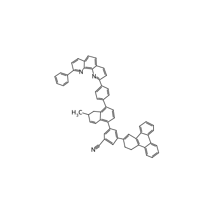 CC1C=Cc2c(-c3cc(C#N)cc(C4=Cc5c(c6ccccc6c6ccccc56)CC4)c3)ccc(-c3ccc(-c4ccc5ccc6ccc(-c7ccccc7)nc6c5n4)cc3)c2C1